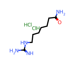 Cl.Cl.N=C(N)NCCCCCCC(N)=O